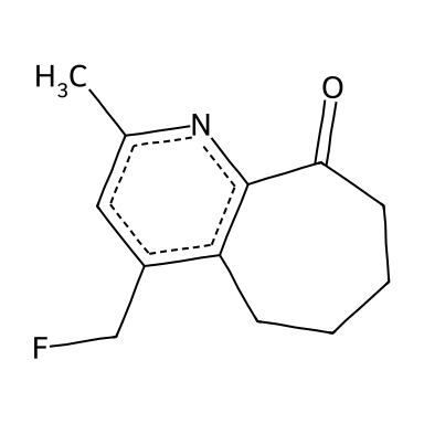 Cc1cc(CF)c2c(n1)C(=O)CCCC2